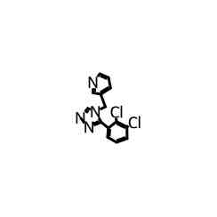 Clc1cccc(-c2nncn2Cc2cccnc2)c1Cl